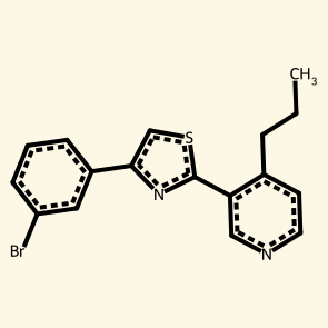 CCCc1ccncc1-c1nc(-c2cccc(Br)c2)cs1